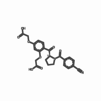 N#Cc1ccc(C(=O)N2CCC[C@H]2C(=O)c2ccc(OCC(=O)O)cc2OCC(=O)O)cc1